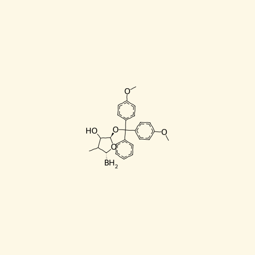 B[C@H]1O[C@H](OC(c2ccccc2)(c2ccc(OC)cc2)c2ccc(OC)cc2)C(O)C1C